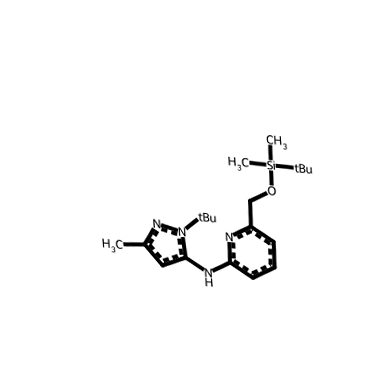 Cc1cc(Nc2cccc(CO[Si](C)(C)C(C)(C)C)n2)n(C(C)(C)C)n1